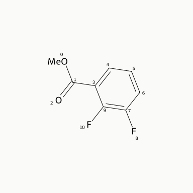 [CH2]OC(=O)c1cccc(F)c1F